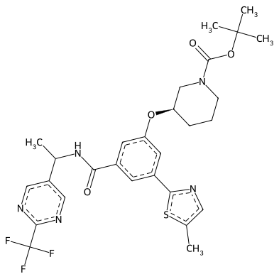 Cc1cnc(-c2cc(O[C@@H]3CCCN(C(=O)OC(C)(C)C)C3)cc(C(=O)NC(C)c3cnc(C(F)(F)F)nc3)c2)s1